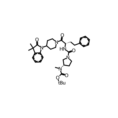 CN(C(=O)OC(C)(C)C)[C@H]1CCN(C(=O)N[C@@H](CCc2ccccc2)C(=O)N2CCC(N3C(=O)C(C)(C)c4ccccc43)CC2)C1